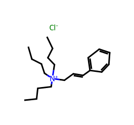 CCCC[N+](CC=Cc1ccccc1)(CCCC)CCCC.[Cl-]